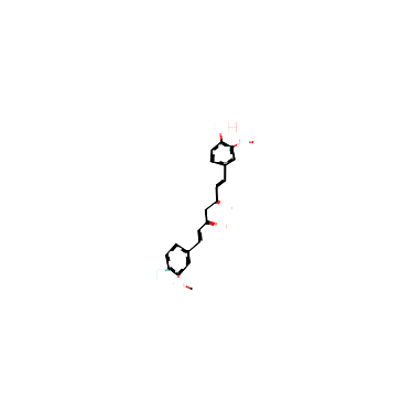 COc1cc(C=CC(=O)CC(=O)C=Cc2ccc(F)c(OC)c2)ccc1O